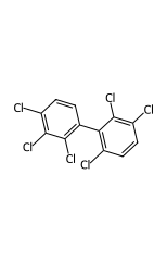 Clc1ccc(-c2c(Cl)ccc(Cl)c2Cl)c(Cl)c1Cl